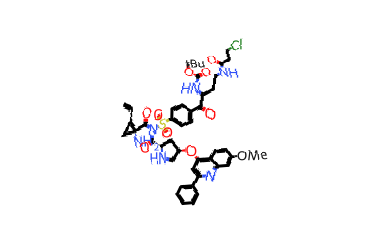 C=C[C@@H]1C[C@]1(N)C(=O)N(C(=O)[C@@H]1C[C@@H](Oc2cc(-c3ccccc3)nc3cc(OC)ccc23)CN1)S(=O)(=O)c1ccc(C(=O)C(CCNC(=O)CCCl)NC(=O)OC(C)(C)C)cc1